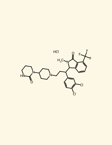 CN1C(=O)c2c(cccc2C(F)(F)F)C1C(CCN1CCC(N2CCCNC2=O)CC1)c1ccc(Cl)c(Cl)c1.Cl